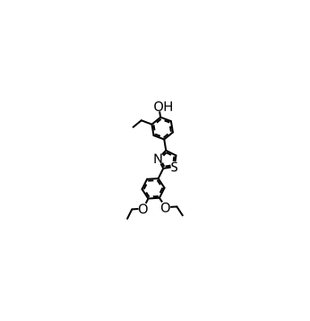 CCOc1ccc(-c2nc(-c3ccc(O)c(CC)c3)cs2)cc1OCC